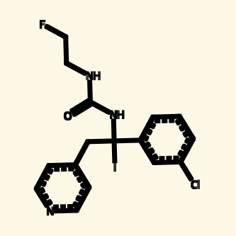 O=C(NCCF)NC(I)(Cc1ccncc1)c1cccc(Cl)c1